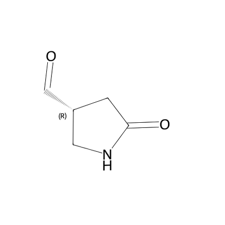 O=C[C@H]1CNC(=O)C1